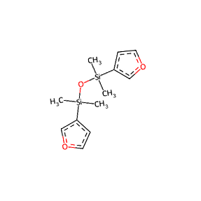 C[Si](C)(O[Si](C)(C)c1ccoc1)c1ccoc1